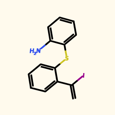 C=C(I)c1ccccc1Sc1ccccc1N